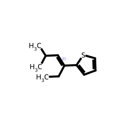 CC/C(=C\C(C)C)c1cccs1